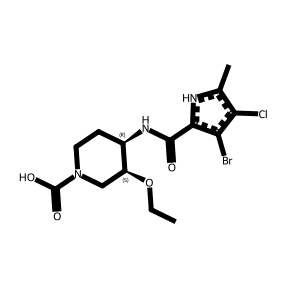 CCO[C@H]1CN(C(=O)O)CC[C@H]1NC(=O)c1[nH]c(C)c(Cl)c1Br